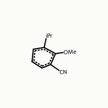 COc1c(C#N)cccc1C(C)C